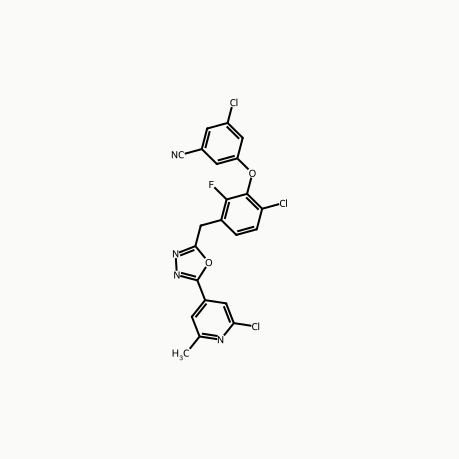 Cc1cc(-c2nnc(Cc3ccc(Cl)c(Oc4cc(Cl)cc(C#N)c4)c3F)o2)cc(Cl)n1